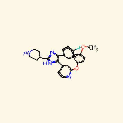 COc1ccc(Oc2cc(-c3[nH]c(C4CCNCC4)nc3-c3ccc(F)cc3)ccn2)cc1